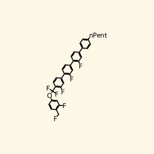 CCCCCc1ccc(-c2ccc(-c3ccc(-c4ccc(C(F)(F)Oc5ccc(CF)c(F)c5)c(F)c4)c(F)c3)c(F)c2)cc1